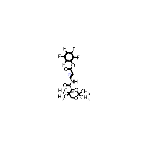 CC1(C)OCC(C)(C)[C@H](C(=O)N/C=C/C(=O)Oc2c(F)c(F)c(F)c(F)c2F)O1